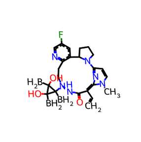 BC1(O)C(B)(O)C1(B)N1CCc2ncc(F)cc2C2CCCN2C2=N/C(=C(/C=C)C(=O)N1)N(C)C=C2